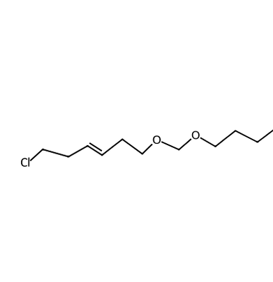 CCCCOCOCCC=CCCCl